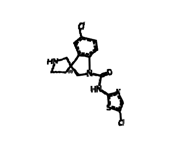 O=C(Nc1ncc(Cl)s1)N1C[C@]2(CCNC2)c2cc(Cl)ccc21